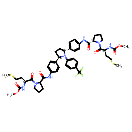 COC(=O)N[C@@H](CCSC)C(=O)N1CCCC1C(=O)Nc1ccc([C@H]2CC[C@H](c3ccc(NC(=O)[C@@H]4CCCN4C(=O)[C@H](CCSC)NC(=O)OC)cc3)N2c2ccc(C(F)(F)F)cc2)cc1